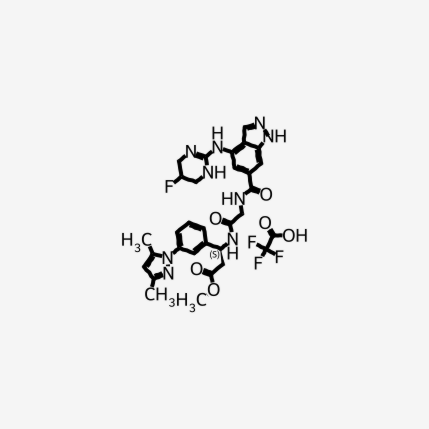 COC(=O)C[C@H](NC(=O)CNC(=O)c1cc(NC2=NCC(F)CN2)c2cn[nH]c2c1)c1cccc(-n2nc(C)cc2C)c1.O=C(O)C(F)(F)F